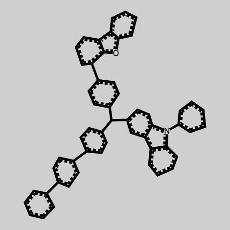 c1ccc(-c2ccc(-c3ccc(C(c4ccc(-c5cccc6c5oc5ccccc56)cc4)c4ccc5c(c4)c4ccccc4n5-c4ccccc4)cc3)cc2)cc1